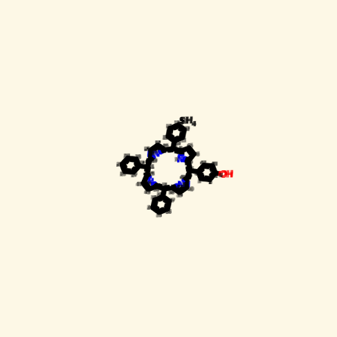 Oc1ccc(-c2c3nc(c(-c4ccccc4)c4ccc([nH]4)c(-c4ccccc4)c4nc(c(-c5ccccc5)c5ccc2[nH]5)C=C4)C=C3)cc1.[SiH4]